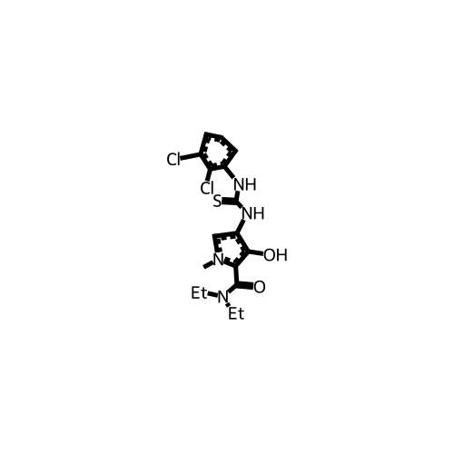 CCN(CC)C(=O)c1c(O)c(NC(=S)Nc2cccc(Cl)c2Cl)cn1C